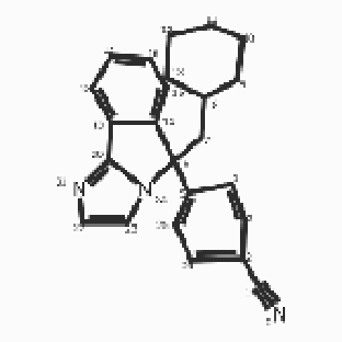 N#Cc1ccc(C2(CC3CCCCC3)c3ccccc3-c3nccn32)cc1